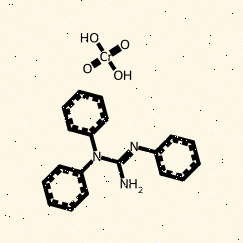 NC(=Nc1ccccc1)N(c1ccccc1)c1ccccc1.[O]=[Cr](=[O])([OH])[OH]